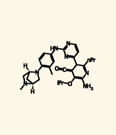 CCCC1=NC(N)=C(OC(C)C)C(=C=O)C1c1ccnc(Nc2ccc(N3C[C@@H]4C[C@H]3CN4C)c(C)c2)n1